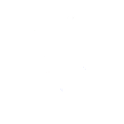 O=CCCc1ccc(COc2cccc3c2N(Cc2cccnc2)CCC3)cc1F